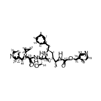 C[C@@H](CC[C@H](Cc1ccccc1)NC(=O)[C@H](CO)NC(=O)N(Cc1cncs1)C1CC1)NC(=O)OCc1cncs1